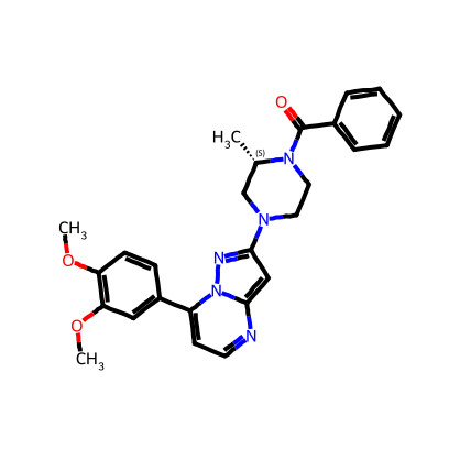 COc1ccc(-c2ccnc3cc(N4CCN(C(=O)c5ccccc5)[C@@H](C)C4)nn23)cc1OC